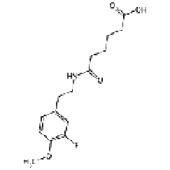 COc1ccc(CCNC(=O)CCCCC(=O)O)cc1F